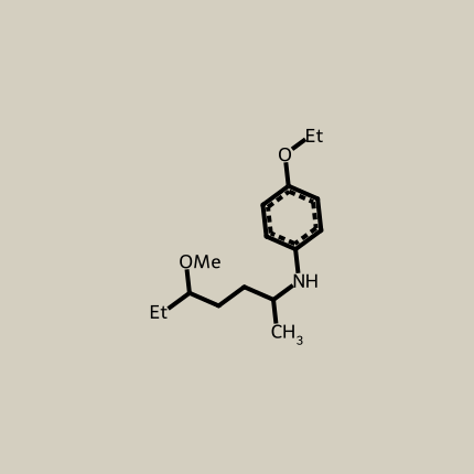 CCOc1ccc(NC(C)CCC(CC)OC)cc1